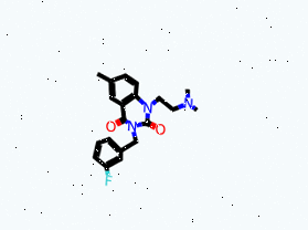 Cc1ccc2c(c1)c(=O)n(Cc1cccc(F)c1)c(=O)n2CCN(C)C